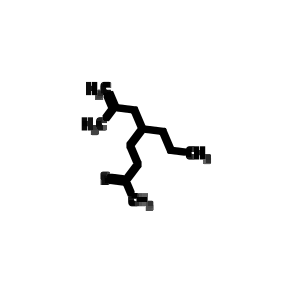 C=C(C)CC(CCC)CCC(C)=S